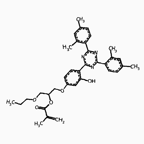 C=C(C)C(=O)OC(COCCC)COc1ccc(-c2nc(-c3ccc(C)cc3C)nc(-c3ccc(C)cc3C)n2)c(O)c1